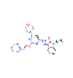 CN1C(=O)/C(=N\Nc2cc(N3CCOCC3)nc(OCCN3CCOCC3)n2)c2ccccc21